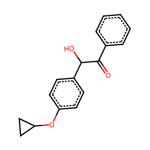 O=C(c1ccccc1)C(O)c1ccc(OC2CC2)cc1